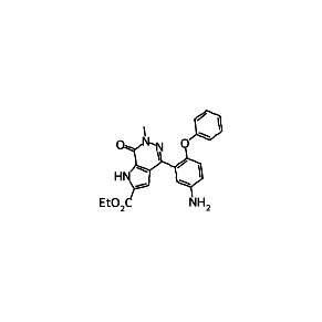 CCOC(=O)c1cc2c(-c3cc(N)ccc3Oc3ccccc3)nn(C)c(=O)c2[nH]1